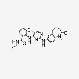 CCCNC(=O)c1ccccc1Nc1nc(Nc2ccc3c(c2)CCCC(=O)N3C)ncc1Cl